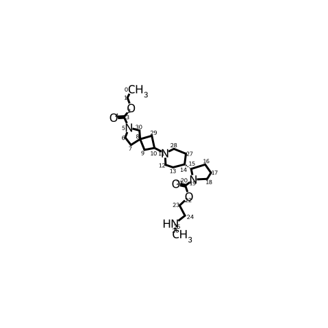 CCOC(=O)N1CCC2(CC(N3CCC([C@@H]4CCCN4C(=O)OCCNC)CC3)C2)C1